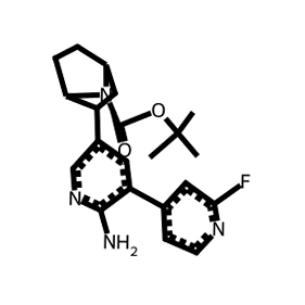 CC(C)(C)OC(=O)N1C2CCC1C(c1cnc(N)c(-c3ccnc(F)c3)c1)C2